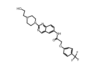 O=C(COc1ccc(C(F)(F)F)cc1)Nc1ccc2nc(N3CCN(CCO)CC3)ncc2c1